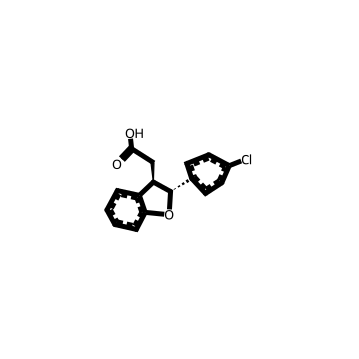 O=C(O)C[C@@H]1c2ccccc2O[C@H]1c1ccc(Cl)cc1